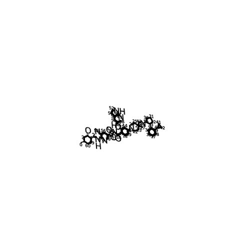 C[C@H]1CC[C@@H](CNc2ncc(S(=O)(=O)NC(=O)c3ccc(N4CCC5(CC4)CN([C@H]4CCC[C@H]4c4ccccc4C4CC4)C5)cc3Oc3cnc4[nH]ccc4c3)cc2[N+](=O)[O-])CC1